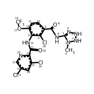 CN1NNN=C1NC(=O)c1ccc(OC(F)(F)F)c(NC(=O)c2ncc(Cl)cc2Cl)c1Cl